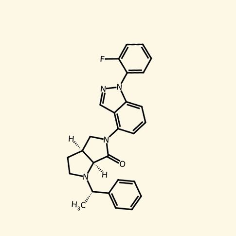 C[C@@H](c1ccccc1)N1CC[C@H]2CN(c3cccc4c3cnn4-c3ccccc3F)C(=O)[C@H]21